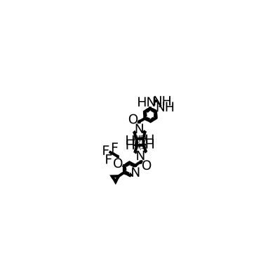 O=C(c1ccc2c(c1)NNN2)N1C[C@@H]2[C@H](C1)[C@H]1CN(C(=O)c3cc(OCC(F)(F)F)c(C4CC4)cn3)C[C@@H]21